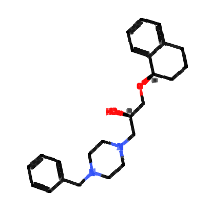 O[C@@H](CO[C@@H]1CCCc2ccccc21)CN1CCN(Cc2ccccc2)CC1